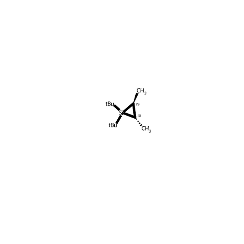 C[C@H]1[C@H](C)[Si]1(C(C)(C)C)C(C)(C)C